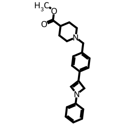 COC(=O)C1CCN(Cc2ccc(C3=CN(c4ccccc4)C3)cc2)CC1